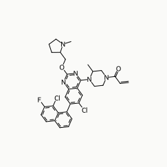 C=CC(=O)N1CCN(c2nc(OCC3CCCN3C)nc3cc(-c4cccc5ccc(F)c(Cl)c45)c(Cl)cc23)C(C)C1